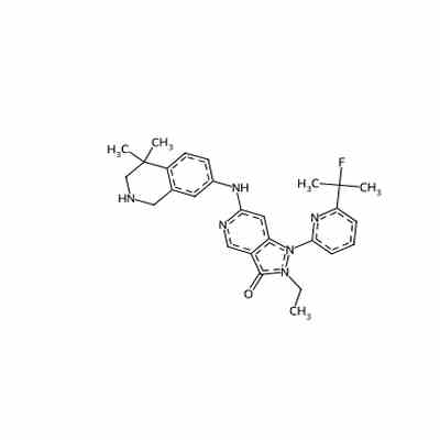 CCn1c(=O)c2cnc(Nc3ccc4c(c3)CNCC4(C)C)cc2n1-c1cccc(C(C)(C)F)n1